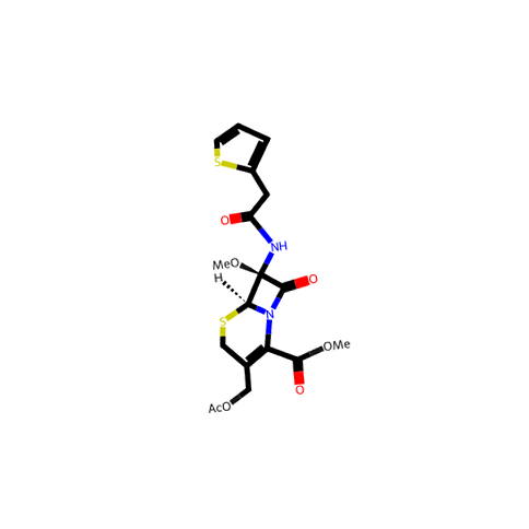 COC(=O)C1=C(COC(C)=O)CS[C@@H]2N1C(=O)[C@]2(NC(=O)Cc1cccs1)OC